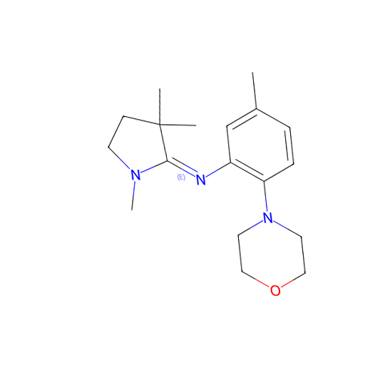 Cc1ccc(N2CCOCC2)c(/N=C2/N(C)CCC2(C)C)c1